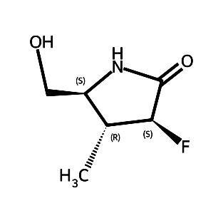 C[C@H]1[C@H](F)C(=O)N[C@@H]1CO